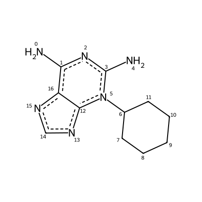 Nc1nc(N)n(C2CCCCC2)c2ncnc1-2